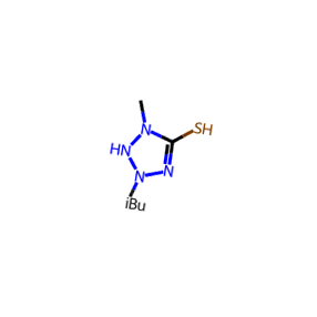 CCC(C)N1N=C(S)N(C)N1